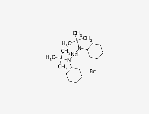 CC(C)(C)[N]([Nd+][N](C1CCCCC1)C(C)(C)C)C1CCCCC1.[Br-]